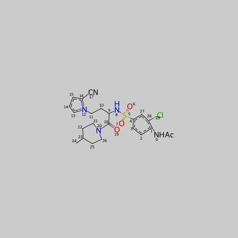 CC(=O)Nc1ccc(S(=O)(=O)NC(CCn2cccc2C#N)C(=O)N2CCC(C)CC2)cc1Cl